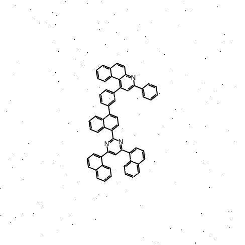 c1ccc(-c2cc(-c3cccc(-c4ccc(-c5nc(-c6cccc7ccccc67)cc(-c6cccc7ccccc67)n5)c5ccccc45)c3)c3c(ccc4ccccc43)n2)cc1